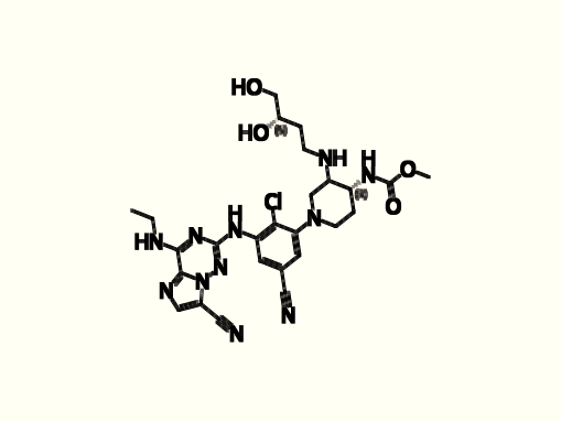 CCNc1nc(Nc2cc(C#N)cc(N3CC[C@@H](NC(=O)OC)C(NCC[C@H](O)CO)C3)c2Cl)nn2c(C#N)cnc12